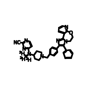 [2H]C([2H])([2H])N(c1ccnc(C#N)n1)C1CCN(Cc2ccc(-c3nc4n(c3-c3ccccc3)CCOc3ncccc3-4)cc2)CC1